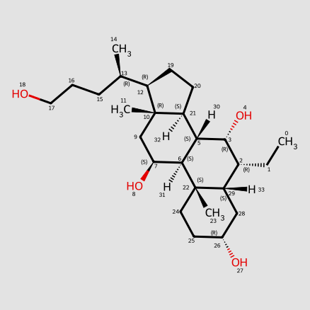 CC[C@H]1[C@@H](O)[C@@H]2[C@H]([C@@H](O)C[C@]3(C)[C@@H]([C@H](C)CCCO)CC[C@@H]23)[C@@]2(C)CC[C@@H](O)C[C@@H]12